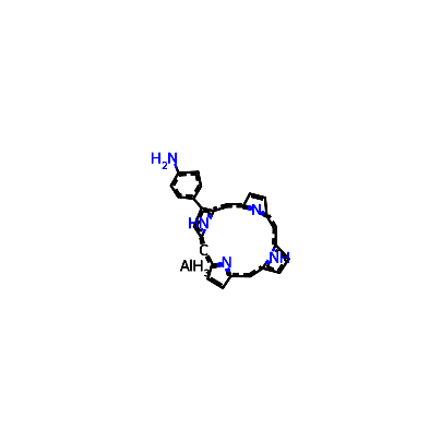 Nc1ccc(-c2cc3cc4nc(cc5ccc(cc6nc(cc2[nH]3)C=C6)[nH]5)C=C4)cc1.[AlH3]